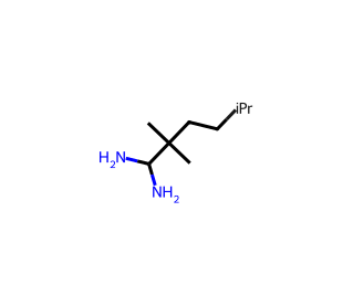 CC(C)CCC(C)(C)C(N)N